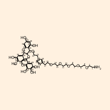 NCCOCCOCCOCCOCCOCCc1cn(CCOC2c3c(O)cc(O)cc3OC(c3cc(O)c(O)c(O)c3)C2OC(=O)c2cc(O)c(O)c(O)c2)nn1